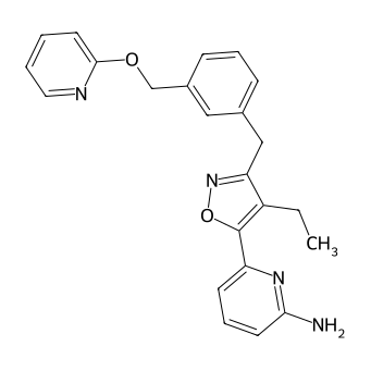 CCc1c(Cc2cccc(COc3ccccn3)c2)noc1-c1cccc(N)n1